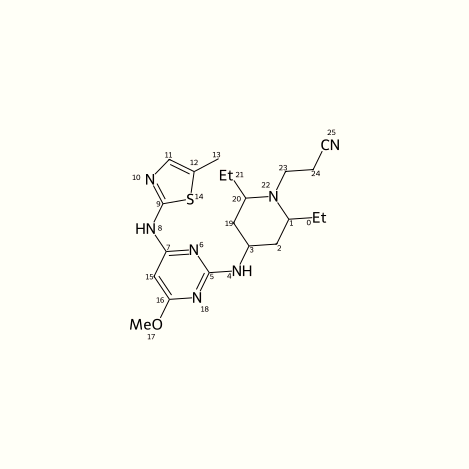 CCC1CC(Nc2nc(Nc3ncc(C)s3)cc(OC)n2)CC(CC)N1CCC#N